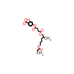 C=CC(=O)OCCCCC(C)COC(=O)CCC(=O)Oc1ccc(C(=O)O)cc1